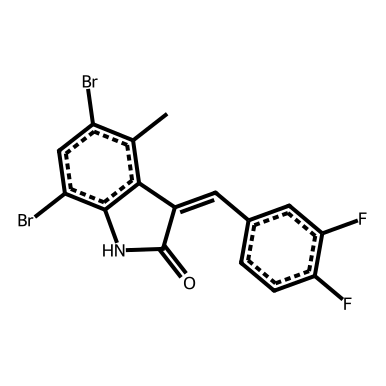 Cc1c(Br)cc(Br)c2c1C(=Cc1ccc(F)c(F)c1)C(=O)N2